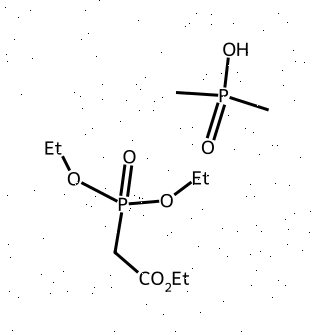 CCOC(=O)CP(=O)(OCC)OCC.CP(C)(=O)O